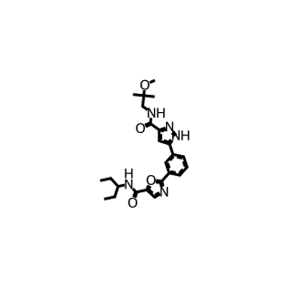 CCC(CC)NC(=O)c1cnc(-c2cccc(-c3cc(C(=O)NCC(C)(C)OC)n[nH]3)c2)o1